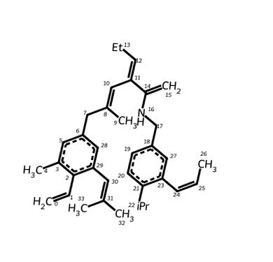 C=Cc1c(C)cc(C/C(C)=C/C(=C\CC)C(=C)NCc2ccc(C(C)C)c(/C=C\C)c2)cc1C=C(C)C